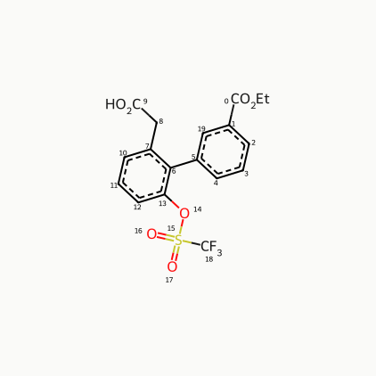 CCOC(=O)c1cccc(-c2c(CC(=O)O)cccc2OS(=O)(=O)C(F)(F)F)c1